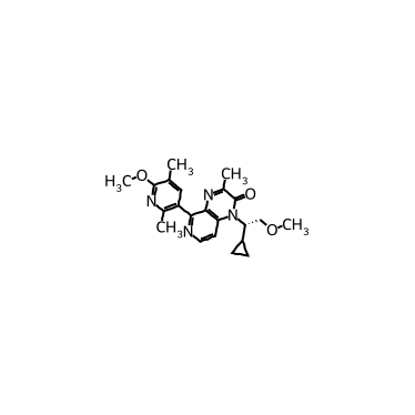 COC[C@H](C1CC1)n1c(=O)c(C)nc2c(-c3cc(C)c(OC)nc3C)nccc21